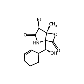 CC[C@@H]1C(=O)N[C@@]2([C@@H](O)[C@@H]3C=CCCC3)C(=O)O[C@@]12C